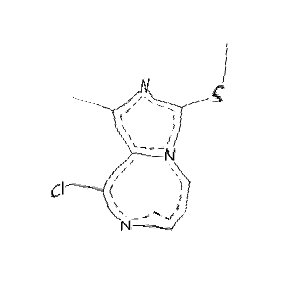 CSc1nc(C)c2c(Cl)nccn12